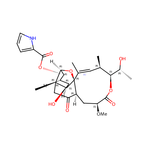 CO[C@H]1C[C@H]2C(=O)C[C@H]3[C@H]4O[C@]2(/C(C)=C/[C@@H](C)[C@@H]([C@@H](C)O)OC1=O)[C@@H]3[C@H](O)[C@@H](C)[C@H]4OC(=O)c1ccc[nH]1